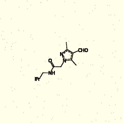 Cc1nn(CC(=O)NCC(C)C)c(C)c1C=O